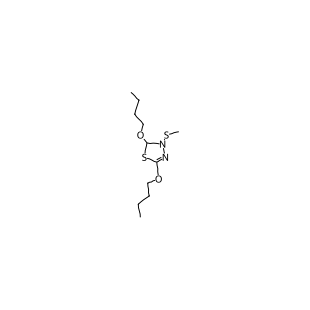 CCCCOC1=NN(SC)C(OCCCC)S1